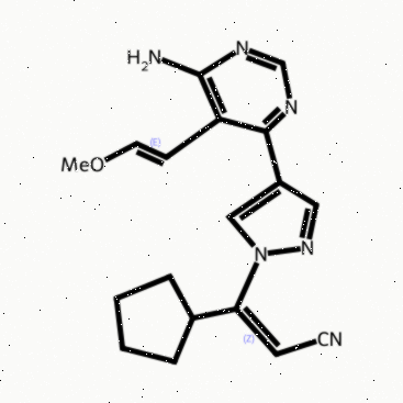 CO/C=C/c1c(N)ncnc1-c1cnn(/C(=C\C#N)C2CCCC2)c1